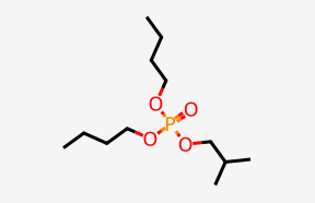 CCCCOP(=O)(OCCCC)OCC(C)C